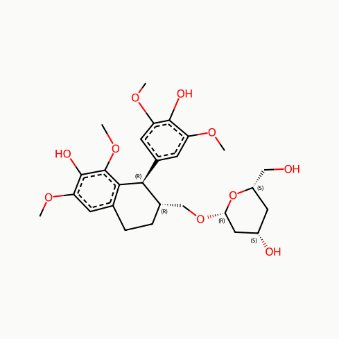 COc1cc([C@@H]2c3c(cc(OC)c(O)c3OC)CC[C@H]2CO[C@H]2C[C@@H](O)C[C@@H](CO)O2)cc(OC)c1O